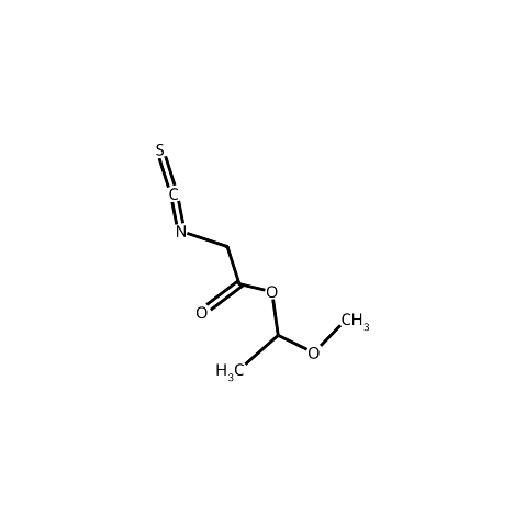 COC(C)OC(=O)CN=C=S